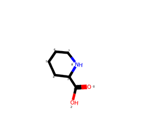 O=C(O)C1C[CH]CCN1